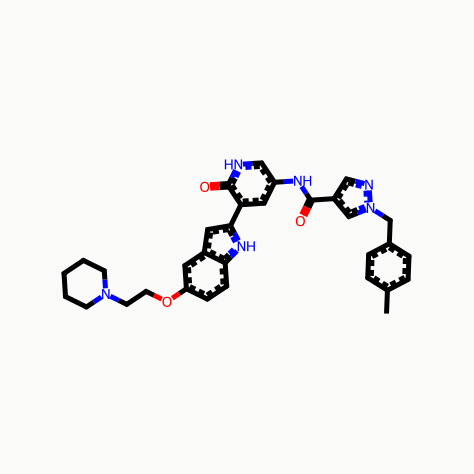 Cc1ccc(Cn2cc(C(=O)Nc3c[nH]c(=O)c(-c4cc5cc(OCCN6CCCCC6)ccc5[nH]4)c3)cn2)cc1